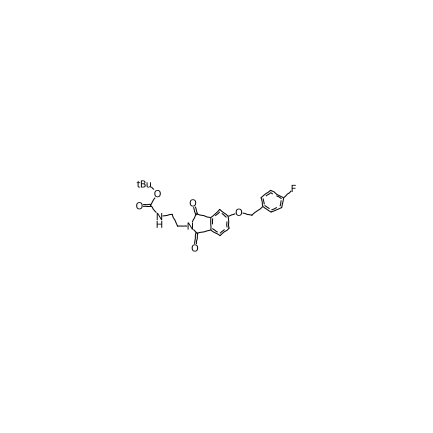 CC(C)(C)OC(=O)NCCN1C(=O)c2ccc(OCc3ccc(F)cc3)cc2C1=O